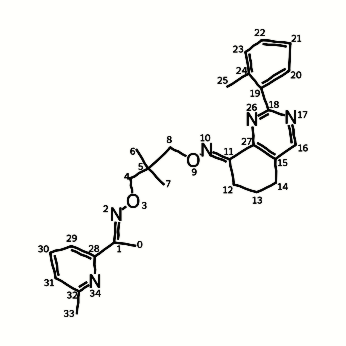 C/C(=N\OCC(C)(C)CO/N=C1\CCCc2cnc(-c3ccccc3C)nc21)c1cccc(C)n1